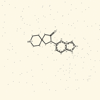 O=C1CC2(CCNCC2)CN1c1ccc2nncn2n1